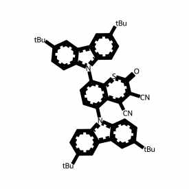 CC(C)(C)c1ccc2c(c1)c1cc(C(C)(C)C)ccc1n2-c1ccc(-n2c3ccc(C(C)(C)C)cc3c3cc(C(C)(C)C)ccc32)c2c(C#N)c(C#N)c(=O)sc12